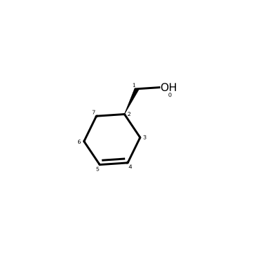 OC[C@H]1CC=CCC1